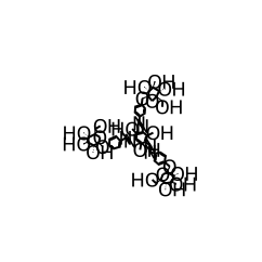 OC[C@H]1O[C@@H](Oc2ccc(/N=N/c3c(O)c(/N=N/c4ccc(O[C@@H]5O[C@H](CO)[C@@H](O)[C@H](O)[C@H]5O)cc4)c(O)c(/N=N/c4ccc(O[C@@H]5O[C@H](CO)[C@@H](O)[C@H](O)[C@H]5O)cc4)c3O)cc2)[C@H](O)[C@@H](O)[C@@H]1O